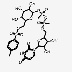 Cc1ccc(S(=O)(=O)OCC2O[C@H](OP(C)(=O)OP(C)(=O)OCC3OC(n4ccc(=O)[nH]c4=O)[C@H](O)[C@@H]3O)C(O)[C@@H](O)[C@H]2O)cc1